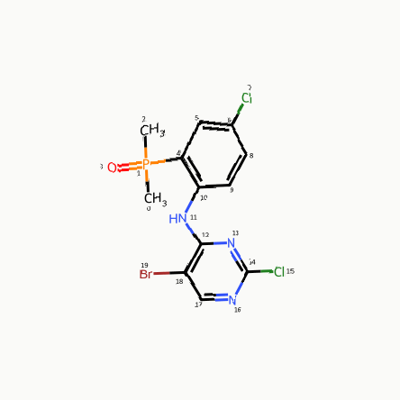 CP(C)(=O)c1cc(Cl)ccc1Nc1nc(Cl)ncc1Br